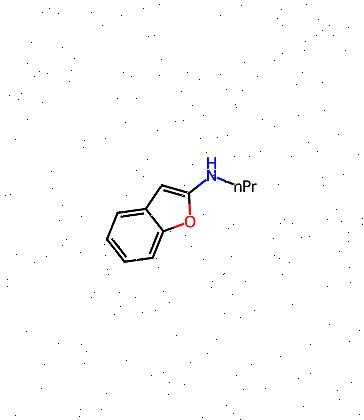 [CH2]CCNc1cc2ccccc2o1